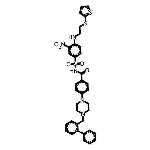 O=C(NS(=O)(=O)c1ccc(NCCSc2cccs2)c([N+](=O)[O-])c1)c1ccc(N2CCN(Cc3ccccc3-c3ccccc3)CC2)cc1